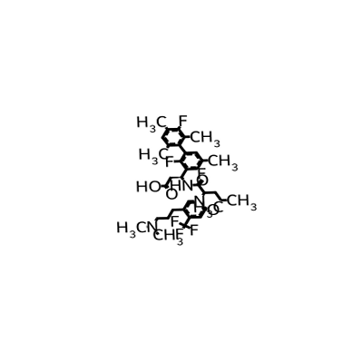 Cc1cc(C)c(-c2cc(C)c(F)c([C@H](CC(=O)O)NC(=O)C(CC(C)C)n3cc(CCCN(C)C)c(C(F)(F)F)cc3=O)c2F)c(C)c1F